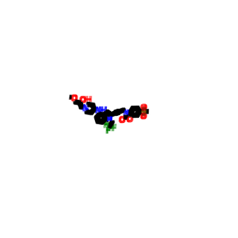 COCC(O)CN1CCC(Nc2cccc3c2cc(C#CCn2c(=O)oc4cc(S(C)(=O)=O)ccc42)n3CC(F)(F)F)CC1